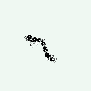 CC1(C)c2cc(C3CCN(C(=O)C4CCN(C5CC6(CCN(c7ccc8c(c7)C(=O)N(C7CCC(=O)NC7=O)C8=O)CC6)C5)CC4)CC3)ccc2-n2c1nc(=O)c1c(Cl)cccc12